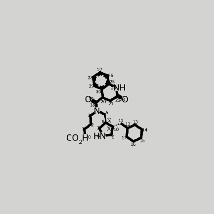 O=C(O)CCCN(C[C@@H]1CNC[C@H]1CC1CCCCC1)C(=O)C1CC(=O)Nc2ccccc21